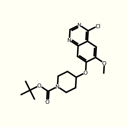 COc1cc2c(Cl)ncnc2cc1OC1CCN(C(=O)OC(C)(C)C)CC1